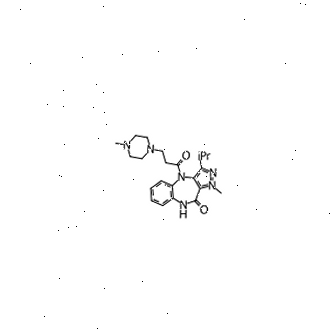 CC(C)c1nn(C)c2c1N(C(=O)CCN1CCN(C)CC1)c1ccccc1NC2=O